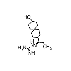 CC/C(=N/NC(=N)N)C1CCC2(CCC(O)CC2)CC1